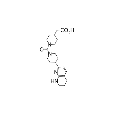 O=C(O)CC1CCN(C(=O)N2CCC(c3ccc4c(n3)NCCC4)CC2)CC1